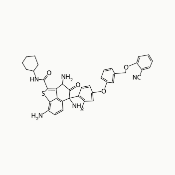 Cc1cc(Oc2cccc(COc3ccccc3C#N)c2)ccc1C1(N)C(=O)C(N)c2c(C(=O)NC3CCCCC3)sc3c(N)ccc1c23